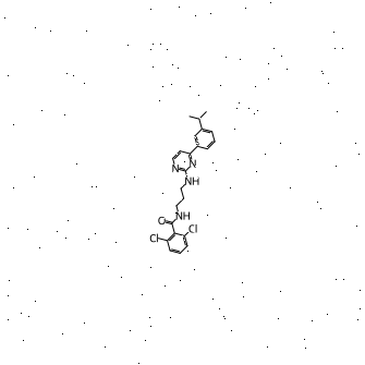 CC(C)c1cccc(-c2ccnc(NCCCNC(=O)c3c(Cl)cccc3Cl)n2)c1